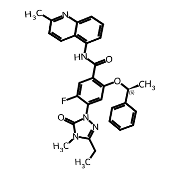 CCc1nn(-c2cc(O[C@@H](C)c3ccccc3)c(C(=O)Nc3cccc4nc(C)ccc34)cc2F)c(=O)n1C